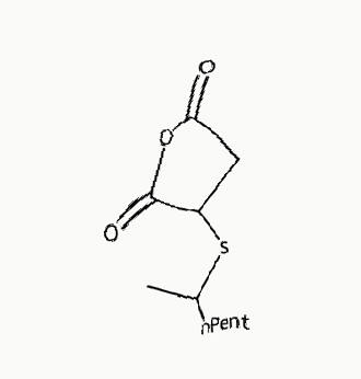 CCCCCC(C)SC1CC(=O)OC1=O